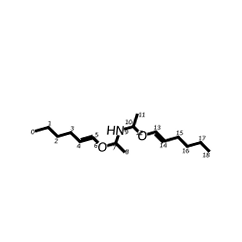 CCCCC=COC(C)NC(C)OC=CCCCC